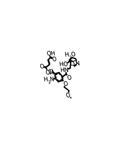 COCCOc1cc(N)c(Cl)cc1C(=O)NCC1(O)CN2CCC1CC2.O.O=C(O)C=CC(=O)O